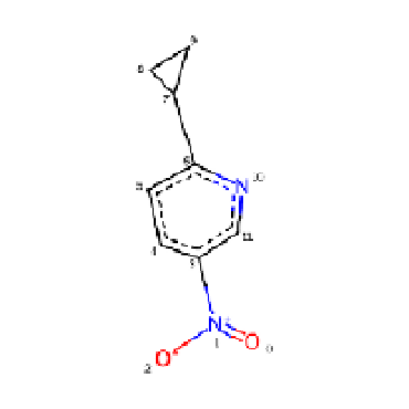 O=[N+]([O-])c1ccc(C2CC2)nc1